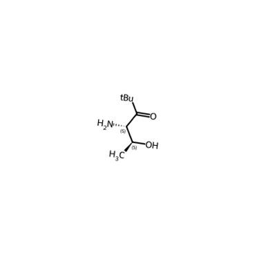 C[C@H](O)[C@H](N)C(=O)C(C)(C)C